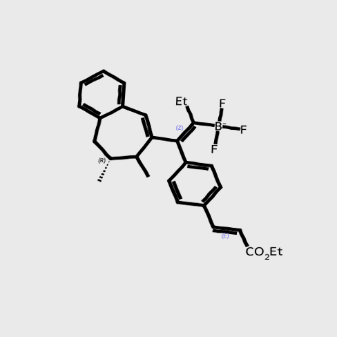 CCOC(=O)/C=C/c1ccc(/C(C2=Cc3ccccc3C[C@@H](C)C2C)=C(/CC)[B-](F)(F)F)cc1